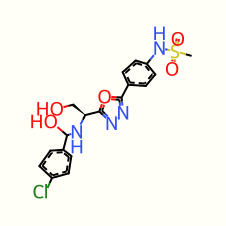 CS(=O)(=O)Nc1ccc(-c2nnc([C@H](CO)NC(O)c3ccc(Cl)cc3)o2)cc1